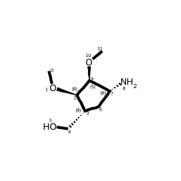 CO[C@@H]1[C@@H](CO)C[C@@H](N)[C@@H]1OC